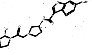 COc1ccc2c(C(=O)N[C@H]3CCN(CC(=O)N4CCC[C@H]4C#N)C3)coc2c1